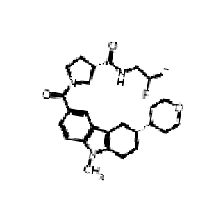 Cn1c2c(c3cc(C(=O)N4CC[C@H](C(=O)NCC(F)F)C4)ccc31)C[C@H](C1CCOCC1)CC2